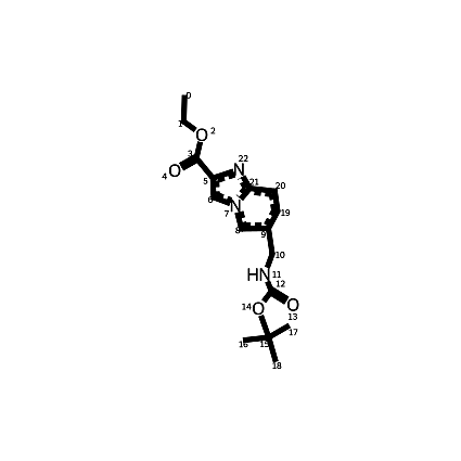 CCOC(=O)c1cn2cc(CNC(=O)OC(C)(C)C)ccc2n1